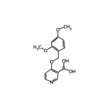 COc1ccc(COc2ccncc2B(O)O)c(OC)c1